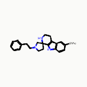 COc1ccc2[nH]c3c(c2c1)CCNC31CCN(CCc2ccccc2)C1